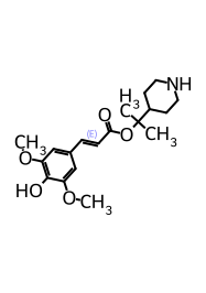 COc1cc(/C=C/C(=O)OC(C)(C)C2CCNCC2)cc(OC)c1O